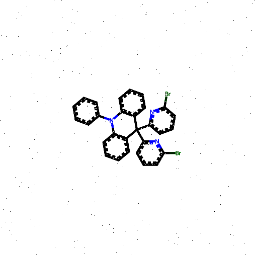 Brc1cccc(C2(c3cccc(Br)n3)c3ccccc3N(c3ccccc3)c3ccccc32)n1